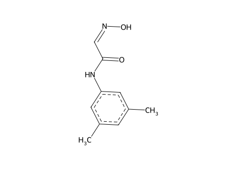 Cc1cc(C)cc(NC(=O)/C=N\O)c1